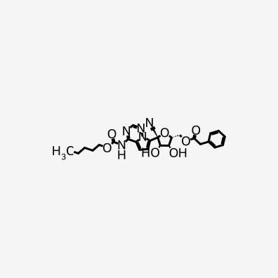 CCCCCOC(=O)Nc1ncnn2c([C@]3(C#N)O[C@H](COC(=O)Cc4ccccc4)[C@@H](O)[C@H]3O)ccc12